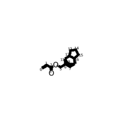 C=CC(=O)OCC1CC2CCC1C1CCCC21